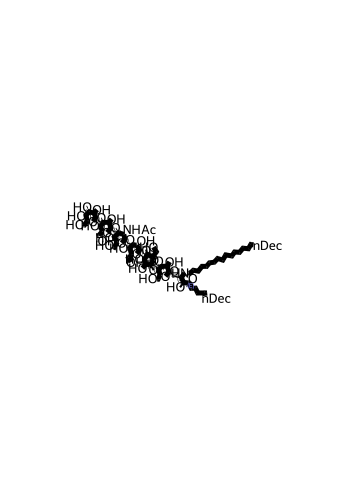 CCCCCCCCCCCCC/C=C/[C@@H](O)[C@H](CO[C@@H]1OC(CO)[C@@H](O[C@@H]2OC(CO)[C@H](O[C@@H]3OC(CO)[C@H](O)[C@H](O[C@@H]4OC(CO)[C@H](O)[C@H](O[C@@H]5OC(CO)[C@H](O)[C@H](O[C@H]6OC(CO)[C@H](O)[C@H](O)C6O)C5O)C4NC(C)=O)C3O)[C@H](O)C2O)[C@H](O)C1O)NC(=O)CCCCCCCCCCCCCCCCCCCCCCCCC